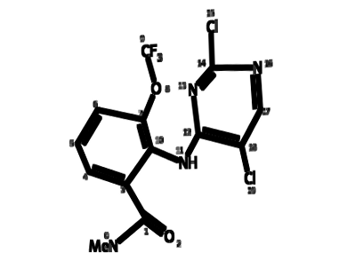 CNC(=O)c1cccc(OC(F)(F)F)c1Nc1nc(Cl)ncc1Cl